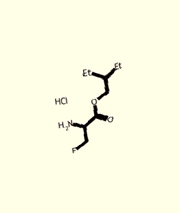 CCC(CC)COC(=O)C(N)CF.Cl